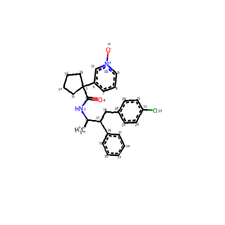 CC(NC(=O)C1(c2ccc[n+]([O-])c2)CCCC1)C(Cc1ccc(Cl)cc1)c1ccccc1